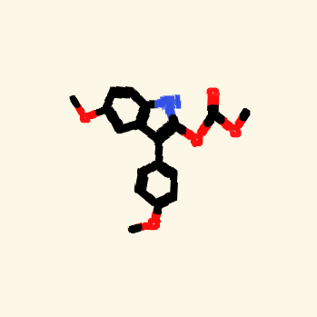 COC(=O)Oc1[nH]c2ccc(OC)cc2c1-c1ccc(OC)cc1